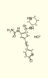 Cl.NC(=O)Nc1cc(C#Cc2ccc(Cl)nc2)sc1C(=O)N[C@H]1CCCNC1